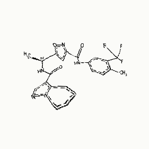 Cc1ccc(NC(=O)c2cc([C@H](C)NC(=O)c3cnn4ccccc34)on2)cc1C(F)(F)F